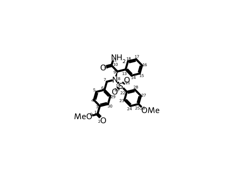 COC(=O)c1ccc(CN([C@@H](C(N)=O)c2ccccc2)S(=O)(=O)c2ccc(OC)cc2)cc1